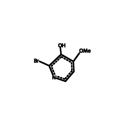 COc1ccnc(Br)c1O